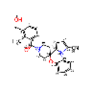 Cc1c(CO)cccc1C(=O)N1CCC2(CC1)Oc1ccccc1-n1c(C#N)ccc12